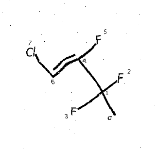 CC(F)(F)C(F)=CCl